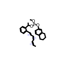 C\C=C/C=C\C=C\c1ccccc1C(C)OP(OC)Oc1ccc2c(c1)CCCC2